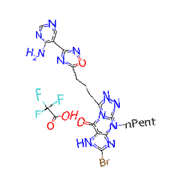 CCCCCn1c2nc(Br)[nH]c2c(=O)n2c(CCCc3nc(-c4cncnc4N)no3)nnc12.O=C(O)C(F)(F)F